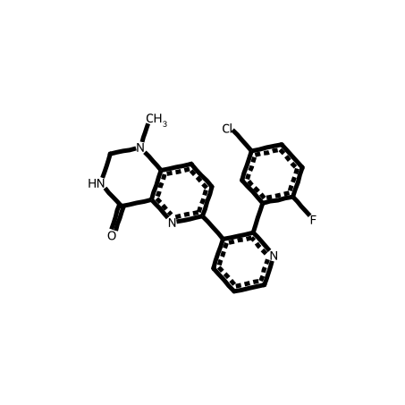 CN1CNC(=O)c2nc(-c3cccnc3-c3cc(Cl)ccc3F)ccc21